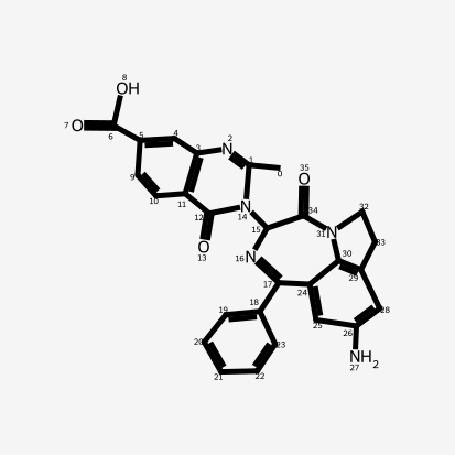 Cc1nc2cc(C(=O)O)ccc2c(=O)n1C1N=C(c2ccccc2)c2cc(N)cc3c2N(CC3)C1=O